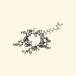 CCC(C)CC(C)CCCCCCCCC(=O)N[C@H]1C[C@@H](O)[C@@H](Sc2ccc(O)cc2[N+](=O)[O-])NC(=O)[C@@H]2[C@@H](O)CCN2C(=O)[C@H]([C@H](O)CC(N)=O)NC(=O)[C@H]([C@H](O)[C@@H](O)c2ccc(O)cc2)NC(=O)[C@@H]2C[C@@H](O)CN2C(=O)[C@H]([C@@H](C)O)NC1=O